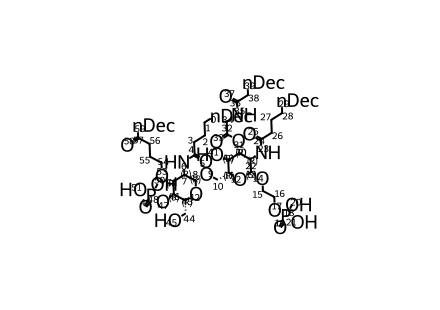 CCCCCCCCCCCCCC(=O)N[C@H]1[C@H](OC[C@H]2O[C@H](OCCOP(=O)(O)O)[C@H](NC(=O)CCCCCCCCCCCCC)[C@@H](OC(=O)CNC(=O)CCCCCCCCCCC)[C@@H]2O)O[C@H](CO)[C@@H](OP(=O)(O)O)[C@@H]1OCCCC(=O)CCCCCCCCCC